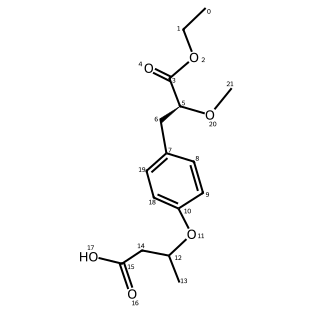 CCOC(=O)[C@H](Cc1ccc(OC(C)CC(=O)O)cc1)OC